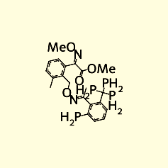 CO/N=C(/C(=O)OC)c1cccc(C)c1CO/N=C(\C)c1c(P)cccc1C(P)(P)P